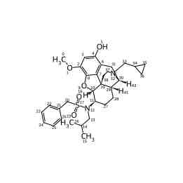 COc1cc(O)c2c3c1O[C@H]1[C@H](N(CC(C)C)S(=O)(=O)Cc4ccccc4)CC[C@H]4[C@@H](C2)N(CC2CC2)CC[C@@]341